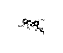 COc1cc(C(=O)NCCF)c2ncn(Cc3ncnc(OC)c3C)c2c1